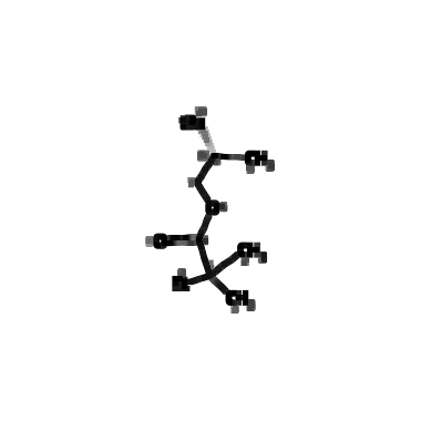 CCC(C)(C)C(=O)OC[C@@H](C)C(C)(C)C